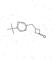 CC(C)(C)c1ccc(CC2CC(=O)C2)cc1